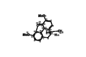 COC1=CC=C2[C@H]3Cc4ccc(OC)c5c4[C@@]2(CCC3C)[C@H]1O5